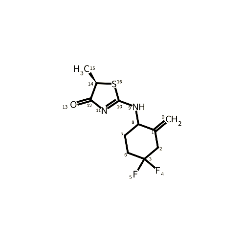 C=C1CC(F)(F)CCC1NC1=NC(=O)[C@@H](C)S1